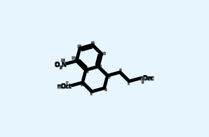 CCCCCCCCCCCCC1CCC(CCCCCCCC)c2c1cccc2[N+](=O)[O-]